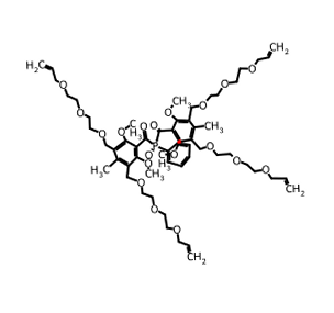 C=CCOCCOCCOCc1c(C)c(COCCOCCOCC=C)c(OC)c(C(=O)P(=O)(C(=O)c2c(OC)c(COCCOCCOCC=C)c(C)c(COCCOCCOCC=C)c2OC)c2ccccc2)c1OC